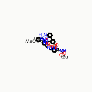 COc1ccc(CN(Cc2ccc(OC)cc2)S(=O)(=O)c2c(S(=O)(=O)NCCNC(=O)OC(C)(C)C)ccc(-c3cccc(N)c3N)c2-c2nnn(Cc3ccc(OC)cc3)n2)cc1